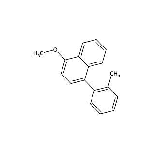 COc1ccc(-c2[c]cccc2C)c2ccccc12